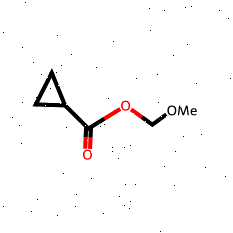 COCOC(=O)C1CC1